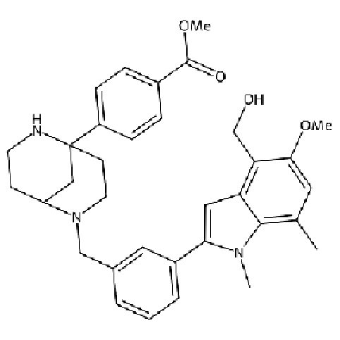 COC(=O)c1ccc(C23CCN(Cc4cccc(-c5cc6c(CO)c(OC)cc(C)c6n5C)c4)C(CCN2)C3)cc1